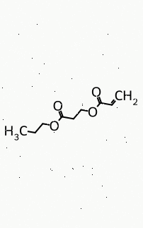 C=CC(=O)OCCC(=O)OCCC